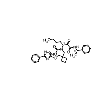 CCCC[C@@H](C(=O)C(=O)N[C@H](C)c1ccccc1)N(CC1(COc2nc(-c3ccccc3)ns2)CCC1)C(=O)O